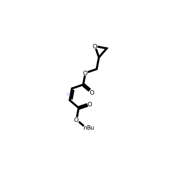 CCCCOC(=O)/C=C\C(=O)OCC1CO1